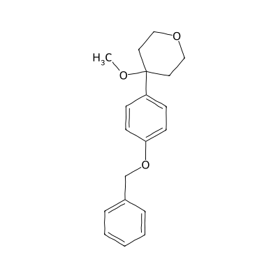 COC1(c2ccc(OCc3ccccc3)cc2)CCOCC1